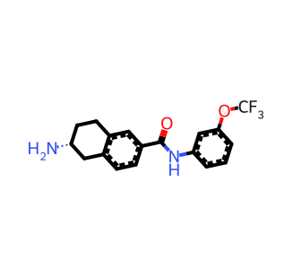 N[C@@H]1CCc2cc(C(=O)Nc3cccc(OC(F)(F)F)c3)ccc2C1